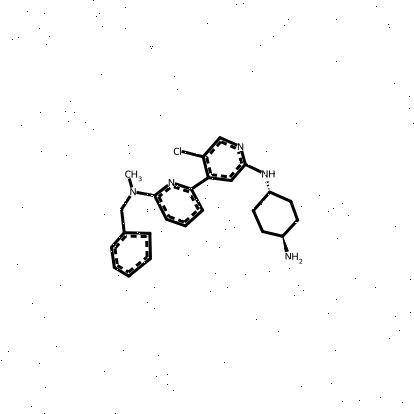 CN(Cc1ccccc1)c1cccc(-c2cc(N[C@H]3CC[C@H](N)CC3)ncc2Cl)n1